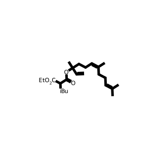 C=CC(C)(CCC=C(C)CCC=C(C)C)OC(=O)C(C(=O)OCC)C(C)CC